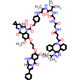 COc1cc2c(cc1OCCCOc1cc3c(cc1OC)C(=O)N1CC4(CC4)C[C@H]1C(O)N3C(=O)OCc1ccc(NC(=O)[C@H](C)NC(=O)[C@@H](NC(=O)CNC(=O)CNC(=O)CCC(=O)N3Cc4ccccc4-c4c(nnn4C(C)C)-c4ccccc43)C(C)C)cc1)NC[C@@H]1CC(c3ccccc3)=CN1C2=O